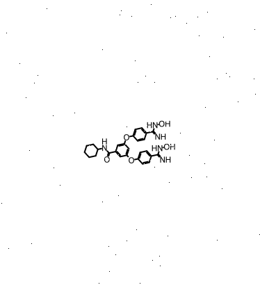 N=C(NO)c1ccc(Oc2cc(Oc3ccc(C(=N)NO)cc3)cc(C(=O)NC3CCCCC3)c2)cc1